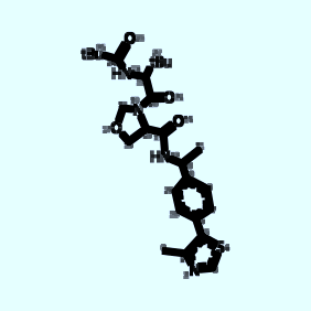 Cc1ncsc1-c1ccc(C(C)NC(=O)C2COCN2C(=O)C(NC(=O)C(C)(C)C)C(C)(C)C)cc1